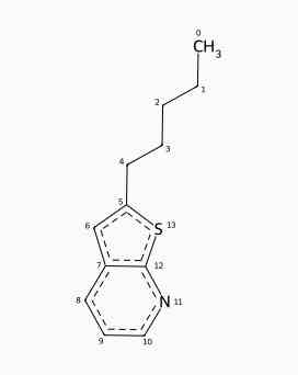 CCCCCc1cc2cccnc2s1